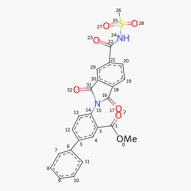 COC(=O)c1cc(-c2ccccc2)ccc1N1C(=O)c2ccc(C(=O)NS(C)(=O)=O)cc2C1=O